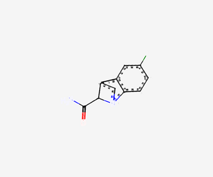 NC(=O)C1c2cn1c1ccc(Br)cc21